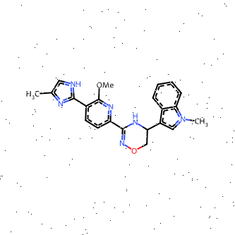 COc1nc(C2=NOCC(c3cn(C)c4ccccc34)N2)ccc1-c1nc(C)c[nH]1